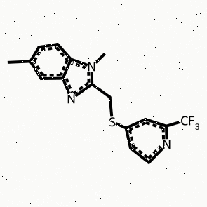 Cc1ccc2c(c1)nc(CSc1ccnc(C(F)(F)F)c1)n2C